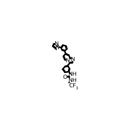 O=C(NCC(F)(F)F)Nc1cccc(-c2cnc3cc(-c4cccc(-n5cccn5)c4)ccn23)c1